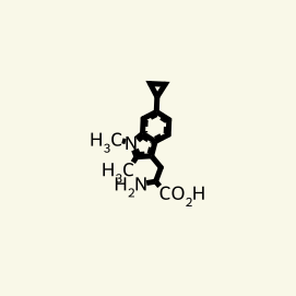 Cc1c(CC(N)C(=O)O)c2ccc(C3CC3)cc2n1C